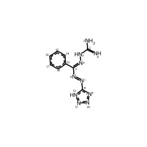 N=C(N)N/N=C(/N=N/c1nnn[nH]1)c1ccccc1